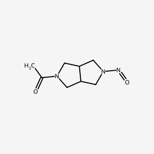 CC(=O)N1CC2CN(N=O)CC2C1